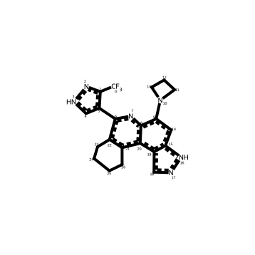 FC(F)(F)c1n[nH]cc1-c1nc2c(N3CCC3)cc3[nH]ncc3c2c2c1CCCC2